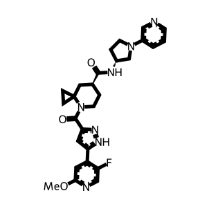 COc1cc(-c2cc(C(=O)N3CC[C@H](C(=O)N[C@@H]4CCN(c5cccnc5)C4)CC34CC4)n[nH]2)c(F)cn1